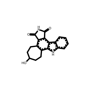 O=C1NC(=O)c2c1c1c(c3[nH]c4ccccc4c23)CCC(O)CC1